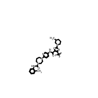 Cc1ccccc1NC(=O)N1CCCN(c2ccc(NC(=O)c3oc(N4CCCC(C)C4)nc3C(F)(F)F)cn2)CC1